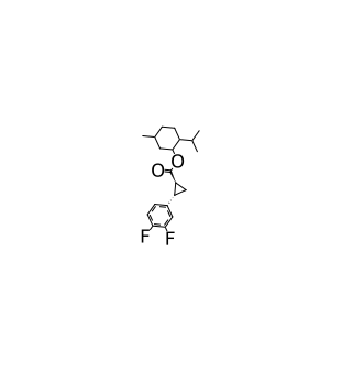 CC1CCC(C(C)C)C(OC(=O)[C@H]2C[C@@H]2c2ccc(F)c(F)c2)C1